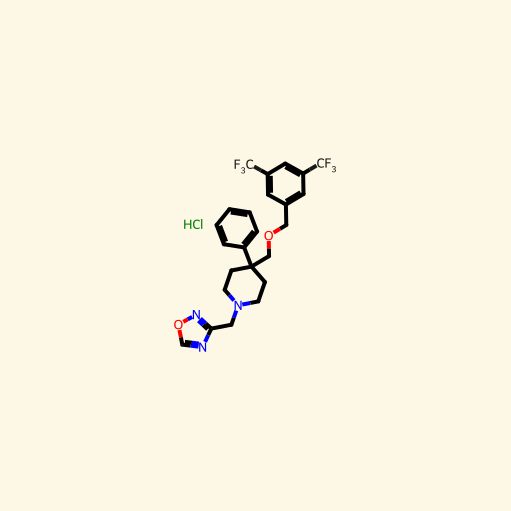 Cl.FC(F)(F)c1cc(COCC2(c3ccccc3)CCN(Cc3ncon3)CC2)cc(C(F)(F)F)c1